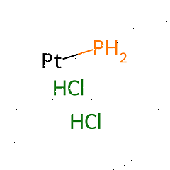 Cl.Cl.[PH2][Pt]